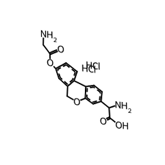 Cl.Cl.NCC(=O)Oc1ccc2c(c1)COc1cc(C(N)C(=O)O)ccc1-2